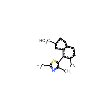 Cc1nc(C)c(-c2c(C#N)ccc3ccc(C(=O)O)cc23)s1